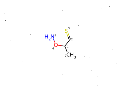 CC(C=S)ON